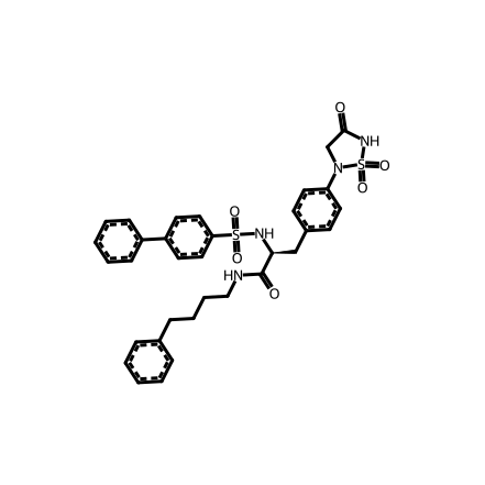 O=C1CN(c2ccc(C[C@H](NS(=O)(=O)c3ccc(-c4ccccc4)cc3)C(=O)NCCCCc3ccccc3)cc2)S(=O)(=O)N1